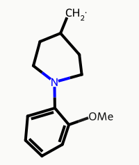 [CH2]C1CCN(c2ccccc2OC)CC1